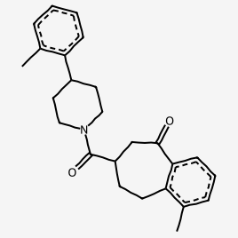 Cc1ccccc1C1CCN(C(=O)C2CCc3c(C)cccc3C(=O)C2)CC1